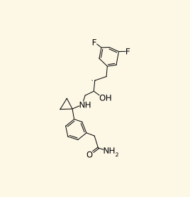 NC(=O)Cc1cccc(C2(NCC(O)[CH]Cc3cc(F)cc(F)c3)CC2)c1